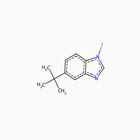 CC(C)(C)c1ccc2c(c1)ncn2I